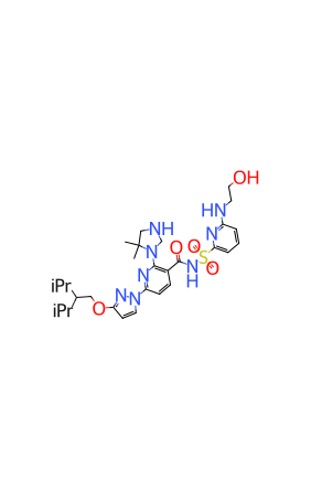 CC(C)C(COc1ccn(-c2ccc(C(=O)NS(=O)(=O)c3cccc(NCCO)n3)c(N3CNCC3(C)C)n2)n1)C(C)C